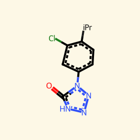 CC(C)c1ccc(-n2nn[nH]c2=O)cc1Cl